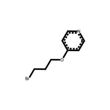 BrCCCOc1ccncc1